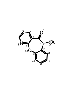 CC(C)(C)N1C(=O)c2cccnc2Oc2ccccc21